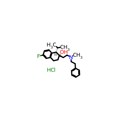 CC(C)[C@H]1c2ccc(F)cc2CC[C@]1(O)CCN(C)CCc1ccccc1.Cl